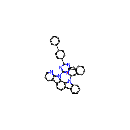 c1ccc(-c2ccc(-c3nc(-c4ccccc4)nc(-n4c5ncccc5c5ccc6c7ccccc7n(-c7ccccc7)c6c54)n3)cc2)cc1